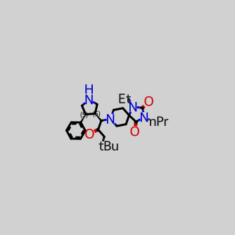 CCCN1C(=O)N(CC)C2(CCN(C(C(=O)CC(C)(C)C)[C@@H]3CNC[C@@H]3c3ccccc3)CC2)C1=O